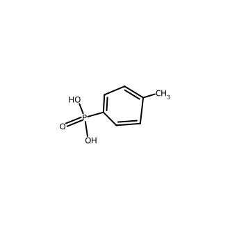 Cc1ccc(P(=O)(O)O)cc1